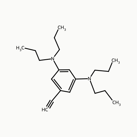 C#Cc1cc(N(CCC)CCC)cc(N(CCC)CCC)c1